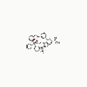 CC(C)(C)[S@@+]([O-])N1Cc2cc(C(=O)O)nc(-c3cccc(-c4cc5ccccc5o4)c3)c2[C@H]1CCO[Si](c1ccccc1)(c1ccccc1)C(C)(C)C